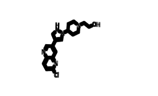 OCCN1CCC(N2C=C(c3cnc4ccc(Cl)nc4c3)CN2)CC1